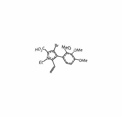 [CH2]Cn1c(C=C)c(-c2ccc(OC)c(OC)c2OC)c(Br)c1C(=O)O